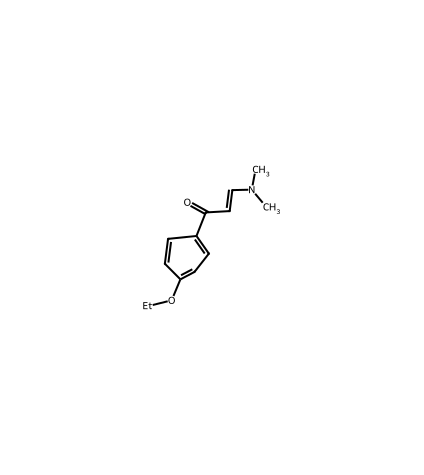 CCOc1ccc(C(=O)C=CN(C)C)cc1